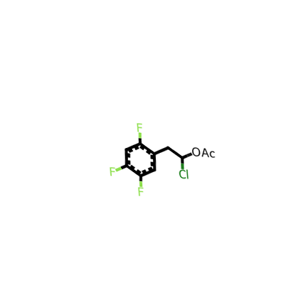 CC(=O)OC(Cl)Cc1cc(F)c(F)cc1F